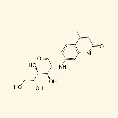 O=C[C@H](Nc1ccc2c(I)cc(=O)[nH]c2c1)[C@@H](O)[C@H](O)[C@H](O)CO